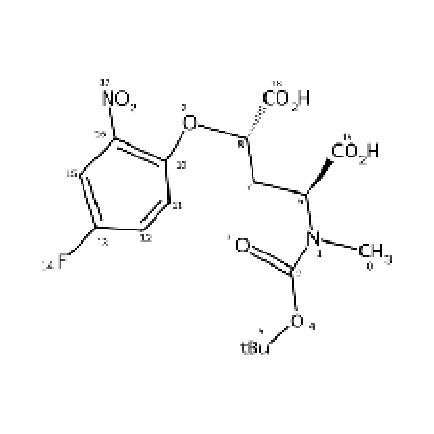 CN(C(=O)OC(C)(C)C)[C@@H](C[C@H](Oc1ccc(F)cc1[N+](=O)[O-])C(=O)O)C(=O)O